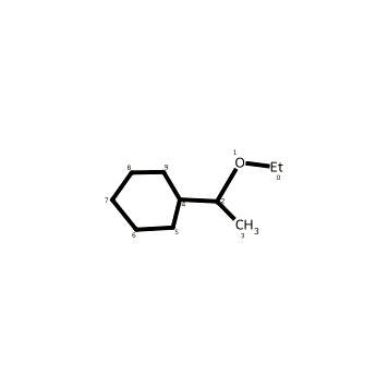 CCO[C](C)C1CCCCC1